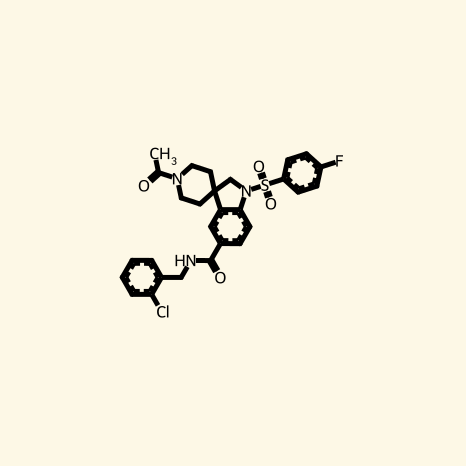 CC(=O)N1CCC2(CC1)CN(S(=O)(=O)c1ccc(F)cc1)c1ccc(C(=O)NCc3ccccc3Cl)cc12